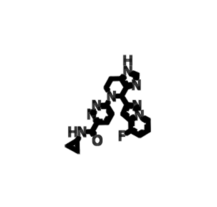 O=C(NC1CC1)c1ccc(N2CCc3[nH]cnc3C2c2cc3c(F)cccn3n2)nn1